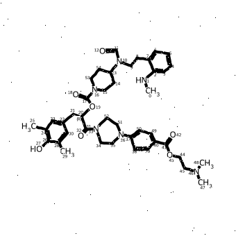 CNc1ccccc1CCN(C=O)C1CCN(C(=O)O[C@H](Cc2cc(C)c(O)c(C)c2)C(=O)N2CCN(c3ccc(C(=O)OCCN(C)C)cc3)CC2)CC1